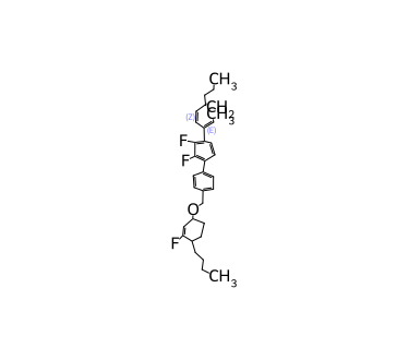 C=C(/C=C\C(=C/C)c1ccc(-c2ccc(COC3C=C(F)C(CCCC)CC3)cc2)c(F)c1F)CCC